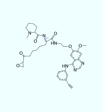 C#Cc1cccc(Nc2ncnc3cc(OC)c(OCCNC(=O)/C(CCCCCC(=O)C4CO4)=N/C(=O)C4CCCCN4C)cc23)c1